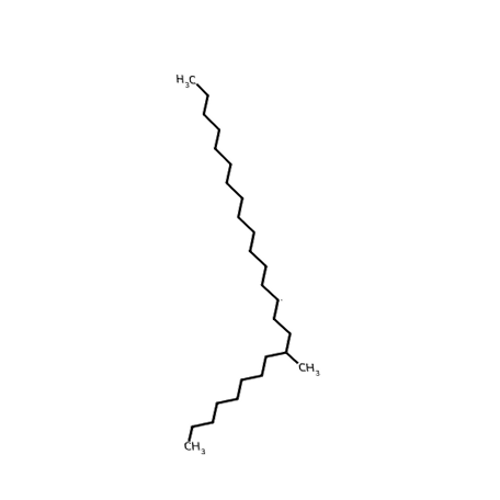 CCCCCCCCCCCCC[CH]CCC(C)CCCCCCCC